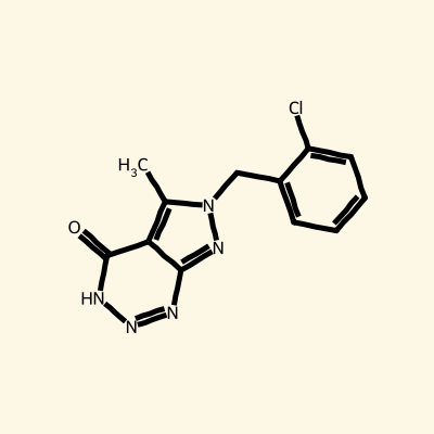 Cc1c2c(=O)[nH]nnc2nn1Cc1ccccc1Cl